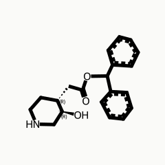 O=C(C[C@H]1CCNC[C@@H]1O)OC(c1ccccc1)c1ccccc1